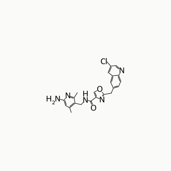 Cc1cc(N)nc(C)c1CNC(=O)c1coc(Cc2ccc3ncc(Cl)cc3c2)n1